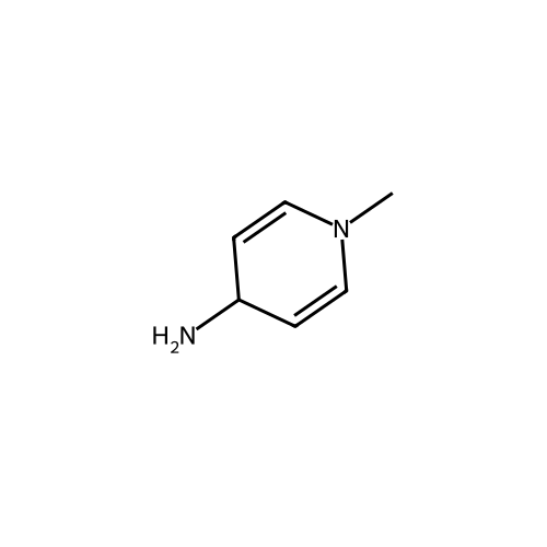 CN1C=CC(N)C=C1